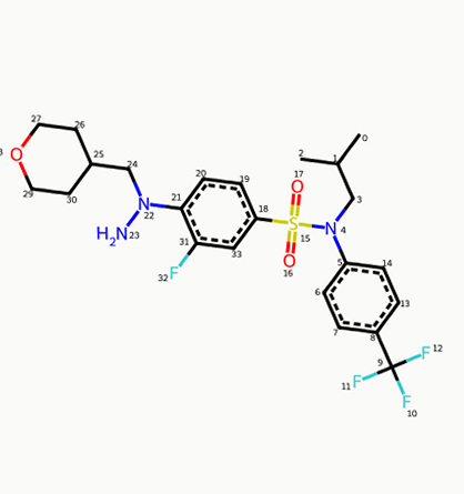 CC(C)CN(c1ccc(C(F)(F)F)cc1)S(=O)(=O)c1ccc(N(N)CC2CCOCC2)c(F)c1